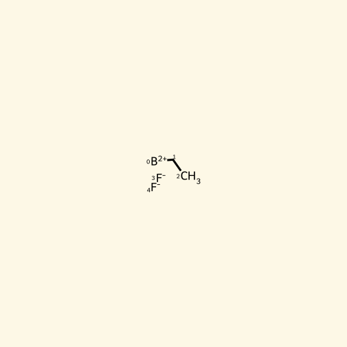 [B+2]CC.[F-].[F-]